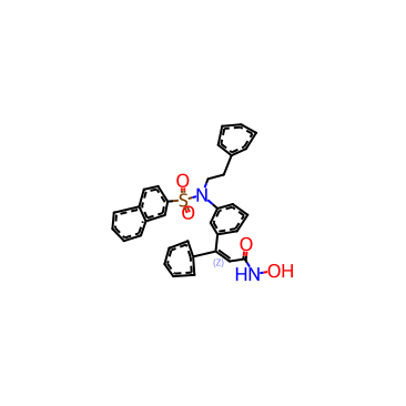 O=C(/C=C(/c1ccccc1)c1cccc(N(CCc2ccccc2)S(=O)(=O)c2ccc3ccccc3c2)c1)NO